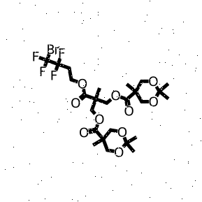 CC1(C)OCC(C)(C(=O)OCC(C)(COC(=O)C2(C)COC(C)(C)OC2)C(=O)OCCC(F)(F)C(F)(F)Br)CO1